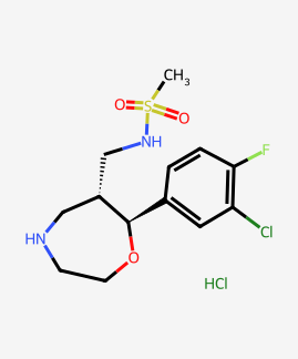 CS(=O)(=O)NC[C@H]1CNCCO[C@@H]1c1ccc(F)c(Cl)c1.Cl